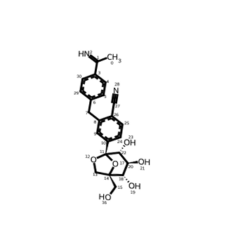 CC(=N)c1ccc(Cc2cc([C@]34OC[C@](CO)(O3)[C@@H](O)[C@H](O)[C@H]4O)ccc2C#N)cc1